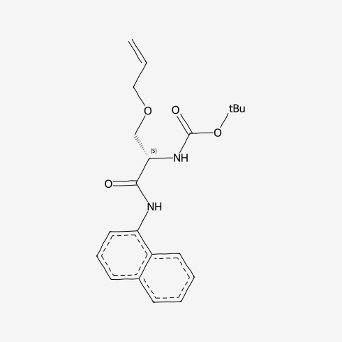 C=CCOC[C@H](NC(=O)OC(C)(C)C)C(=O)Nc1cccc2ccccc12